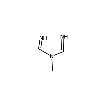 CN(C=N)C=N